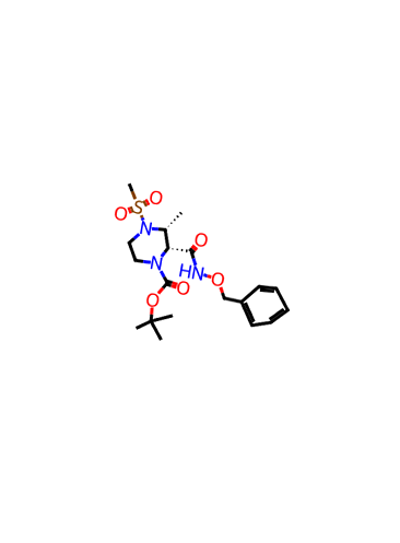 C[C@@H]1[C@H](C(=O)NOCc2ccccc2)N(C(=O)OC(C)(C)C)CCN1S(C)(=O)=O